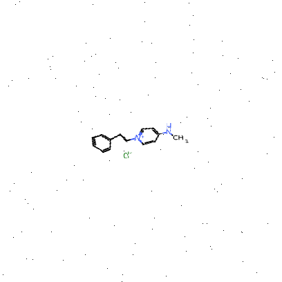 CNc1cc[n+](CCc2ccccc2)cc1.[Cl-]